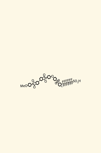 COc1ccc(N2C(=O)c3ccc(-c4ccc5c(c4)C(=O)N(c4ccc(Oc6ccc(S(=O)(=O)c7ccc(C)c(C(F)(F)C(F)(F)C(F)(F)C(F)(F)C(F)(F)C(F)(F)S(=O)(=O)O)c7)cc6)cc4)C5=O)cc3C2=O)cc1